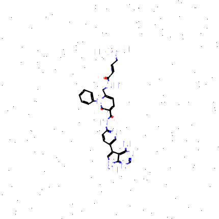 CN(C)C/C=C/C(=O)NCc1ccc(C(=O)Nc2ccc(-c3cn(C)c4ncnc(N)c34)cn2)c(=O)n1-c1ccccc1